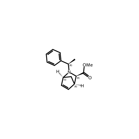 COC(=O)[C@H]1[C@H]2C=C[C@H](C2)N1[C@H](C)c1ccccc1